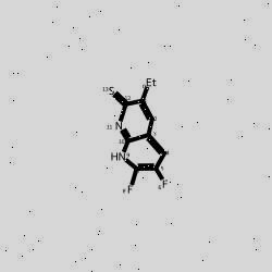 CCc1cc2cc(F)c(F)[nH]c-2nc1=S